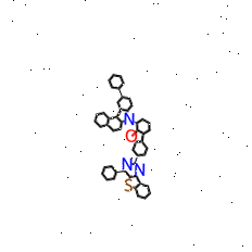 c1ccc(-c2ccc3c(c2)c2c4ccccc4ccc2n3-c2cccc3c2oc2cc(-c4nc(-c5ccccc5)c5sc6ccccc6c5n4)ccc23)cc1